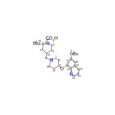 CCCCc1cc(OC2CCN(CC3CCN(C(=O)O)C(C(C)(C)C)C3)CC2)c2ncccc2c1